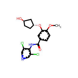 COc1ccc(C(=O)Nc2c(Cl)cncc2Cl)cc1O[C@@H]1CC[C@@H](O)C1